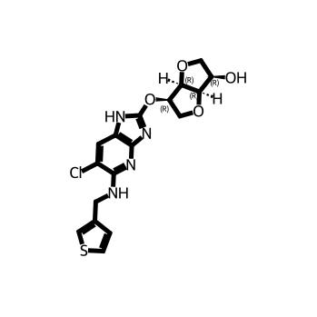 O[C@@H]1CO[C@H]2[C@@H]1OC[C@H]2Oc1nc2nc(NCc3ccsc3)c(Cl)cc2[nH]1